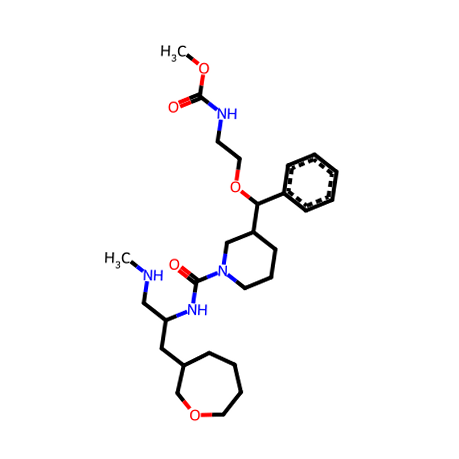 CNCC(CC1CCCCOC1)NC(=O)N1CCCC(C(OCCNC(=O)OC)c2ccccc2)C1